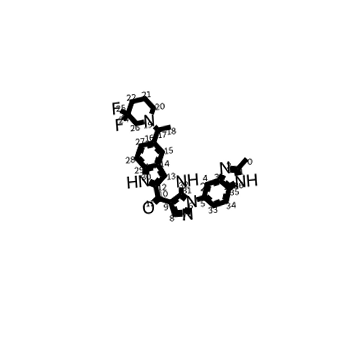 Cc1nc2cc(-n3ncc(C(=O)c4cc5cc(C(C)N6CCCC(F)(F)C6)ccc5[nH]4)c3N)ccc2[nH]1